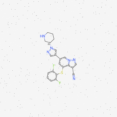 N#Cc1cnn2cc(-c3cnn([C@H]4CCCNC4)c3)cc(Sc3c(F)cccc3F)c12